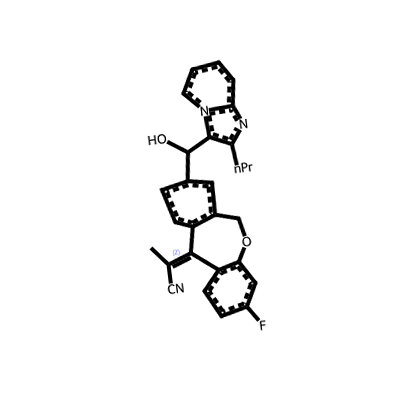 CCCc1nc2ccccn2c1C(O)c1ccc2c(c1)COc1cc(F)ccc1/C2=C(/C)C#N